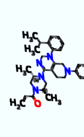 C=CC(=O)N1C[C@H](C)N(C2=NCN(c3ccccc3C(C)C)C3=C2CCN(c2ccccc2)C3)C[C@H]1C